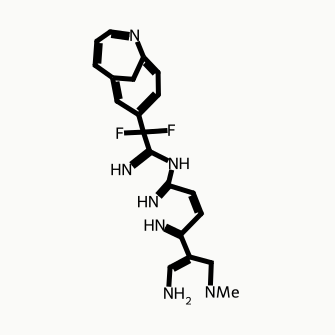 CNC/C(=C\N)C(=N)/C=C\C(=N)NC(=N)C(F)(F)C1=CC=C2CC(=C1)C=CC=N2